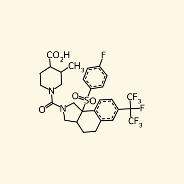 CC1CN(C(=O)N2CC3CCc4cc(C(F)(C(F)(F)F)C(F)(F)F)ccc4C3(S(=O)(=O)c3ccc(F)cc3)C2)CCC1C(=O)O